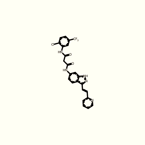 O=C(CC(=O)Nc1cc(C(F)(F)F)ccc1Cl)Nc1ccc2c(C=Cc3ccccn3)n[nH]c2c1